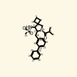 CC(C)C(=O)N1CC2(CCC2)C(NS(C)(=O)=O)C1Cc1cccc(-c2ccccc2)c1